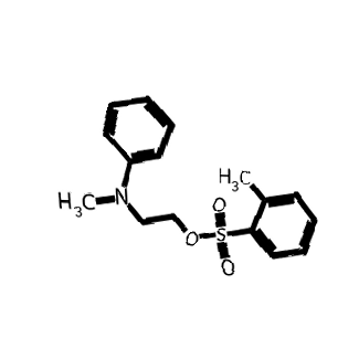 Cc1ccccc1S(=O)(=O)OCCN(C)c1ccccc1